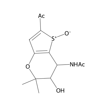 CC(=O)NC1c2c(cc(C(C)=O)[s+]2[O-])OC(C)(C)C1O